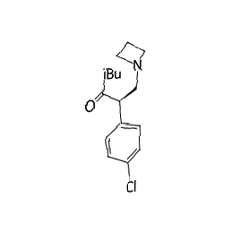 CCC(C)C(=O)[C@@H](CN1CCC1)c1ccc(Cl)cc1